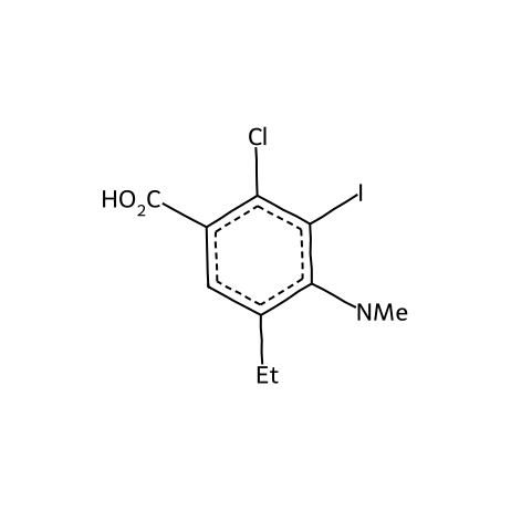 CCc1cc(C(=O)O)c(Cl)c(I)c1NC